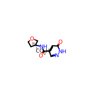 O=C(N[C@@]1(C(=O)O)CCOC1)c1cn[nH]c(=O)c1